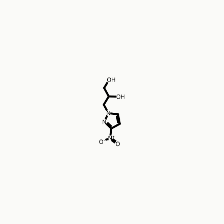 O=[N+]([O-])c1ccn(CC(O)CO)n1